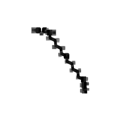 [N-]=[N+]=NCCCCCOCCCCCNC(=O)O